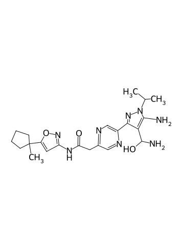 CC(C)n1nc(-c2cnc(CC(=O)Nc3cc(C4(C)CCCC4)on3)cn2)c(C(N)O)c1N